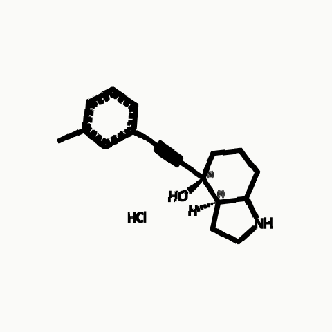 Cc1cccc(C#C[C@]2(O)CCCC3NCC[C@H]32)c1.Cl